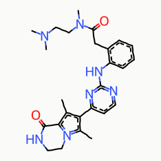 Cc1c(-c2ccnc(Nc3ccccc3CC(=O)N(C)CCN(C)C)n2)c(C)n2c1C(=O)NCC2